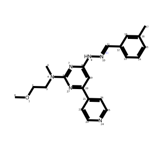 COCCN(C)c1nc(N/N=C/c2cccc(C)c2)cc(-c2ccncc2)n1